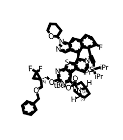 CC(C)[Si](C#Cc1c(F)ccc2cc3c(cnn3C3CCCCO3)c(-c3nccc4c3sc3nc(OC[C@]5(COCc6ccccc6)CC5(F)F)nc(N5C[C@H]6CC[C@@H](C5)N6C(=O)OC(C)(C)C)c34)c12)(C(C)C)C(C)C